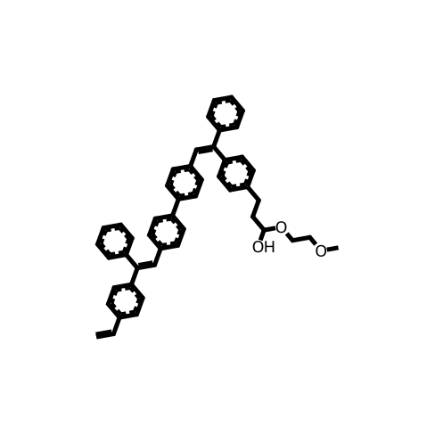 C=Cc1ccc(C(=Cc2ccc(-c3ccc(C=C(c4ccccc4)c4ccc(CCC(O)OCCOC)cc4)cc3)cc2)c2ccccc2)cc1